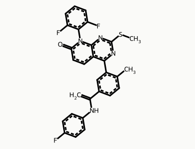 C=C(Nc1ccc(F)cc1)c1ccc(C)c(-c2nc(SC)nc3c2ccc(=O)n3-c2c(F)cccc2F)c1